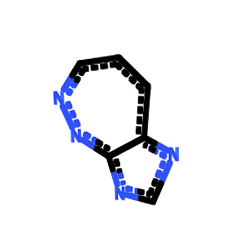 c1cnnc2ncnc-2c1